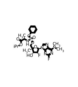 CC(C)OC(=O)[C@H](C)NP(=O)(OC[C@@]1(C)O[C@@H](n2cnc3c(N(C)C)nc(F)nc32)[C@H](F)[C@@H]1O)Oc1ccccc1